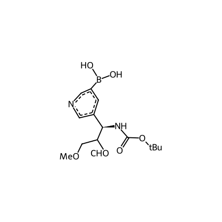 COCC(C=O)[C@H](NC(=O)OC(C)(C)C)c1cncc(B(O)O)c1